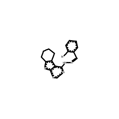 Brc1ccccc1/C=N\Nc1ncnc2sc3c(c12)CCCC3